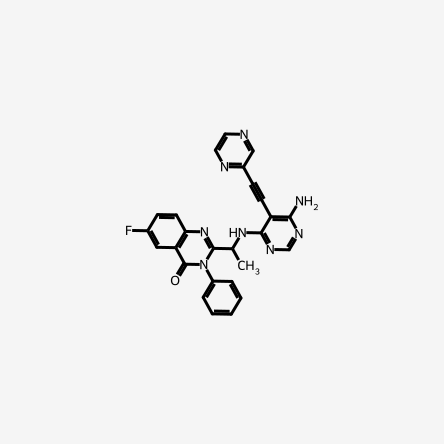 CC(Nc1ncnc(N)c1C#Cc1cnccn1)c1nc2ccc(F)cc2c(=O)n1-c1ccccc1